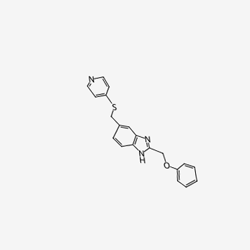 c1ccc(OCc2nc3cc(CSc4ccncc4)ccc3[nH]2)cc1